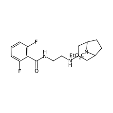 CCOC(=O)N1C2CCC1CC(NCCNC(=O)c1c(F)cccc1F)C2